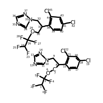 FC(F)C(F)(F)OCC(Cn1cncn1)c1ccc(Cl)cc1Cl.FC(F)C(F)(F)OCC(Cn1cncn1)c1ccc(Cl)cc1Cl